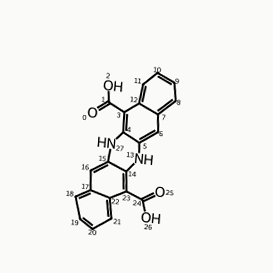 O=C(O)c1c2c(cc3ccccc13)Nc1c(cc3ccccc3c1C(=O)O)N2